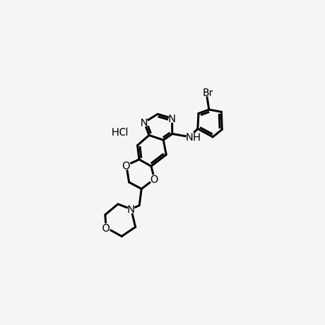 Brc1cccc(Nc2ncnc3cc4c(cc23)OC(CN2CCOCC2)CO4)c1.Cl